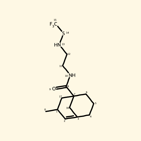 CC1C=C2CCCC(C(=O)NCCNSC(F)(F)F)(C2)C1